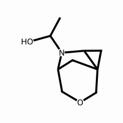 CC(O)N1C2COCC3(C2)CC13